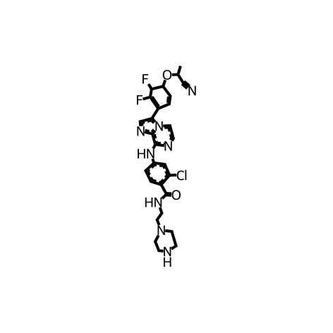 CC(C#N)OC1C=CC(c2cnc3c(Nc4ccc(C(=O)NCCN5CCNCC5)c(Cl)c4)nccn23)=C(F)C1F